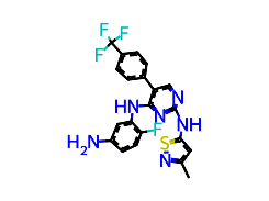 Cc1cc(Nc2ncc(-c3ccc(C(F)(F)F)cc3)c(Nc3cc(N)ccc3F)n2)sn1